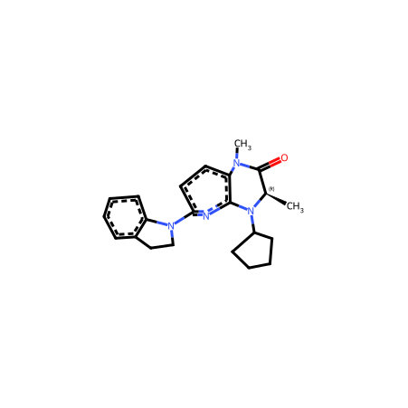 C[C@@H]1C(=O)N(C)c2ccc(N3CCc4ccccc43)nc2N1C1CCCC1